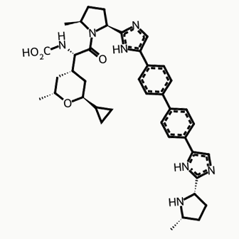 C[C@@H]1C[C@H]([C@H](NC(=O)O)C(=O)N2[C@@H](C)CC[C@H]2c2ncc(-c3ccc(-c4ccc(-c5cnc([C@@H]6CC[C@H](C)N6)[nH]5)cc4)cc3)[nH]2)C[C@@H](C2CC2)O1